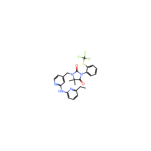 CCc1cccc(Nc2cc(CN3C(=O)N(c4ccccc4SC(F)(F)F)C(=O)C3(C)C)ccn2)n1